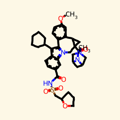 COc1ccc2c(c1)C1CC1(C(=O)N1C3CC1CN(C)C3)Cn1c-2c(C2CCCCC2)c2ccc(C(=O)NS(=O)(=O)CC3CCCO3)cc21